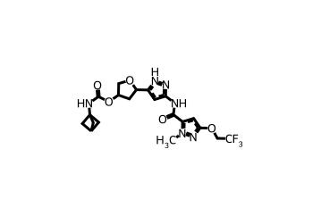 Cn1nc(OCC(F)(F)F)cc1C(=O)Nc1cc(C2CC(OC(=O)NC34CC(C3)C4)CO2)[nH]n1